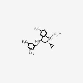 CCOC(=O)ON1c2ccc(C(F)(F)F)cc2[C@@H](NCc2cc(C(F)(F)F)cc(C(F)(F)F)c2)C[C@H]1C1CC1